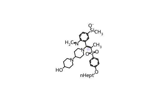 C=Nc1ccc([S+](C)[O-])cc1/C(=C(\C)S(=O)(=O)c1ccc(OCCCCCCC)cc1)N1CCC(N2CCC(O)CC2)CC1